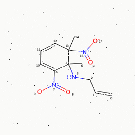 C=CCNC1(C)C([N+](=O)[O-])=CC=CC1(C)[N+](=O)[O-]